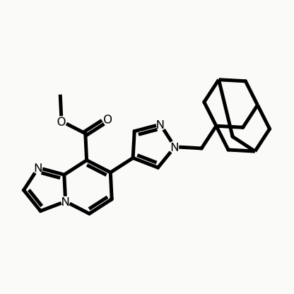 COC(=O)c1c(-c2cnn(CC34CC5CC(CC(C5)C3)C4)c2)ccn2ccnc12